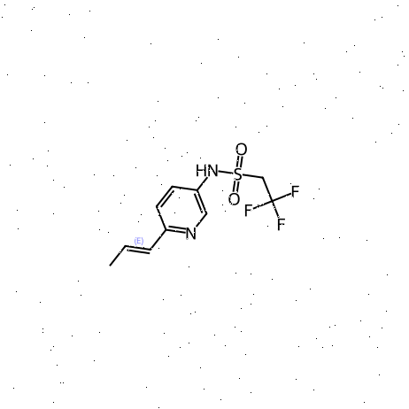 C/C=C/c1ccc(NS(=O)(=O)CC(F)(F)F)cn1